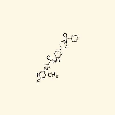 Cc1cc(F)ncc1N1CC(C(=O)Nc2ccc(C3CCN(C(=O)c4ccccc4)CC3)cc2)C1